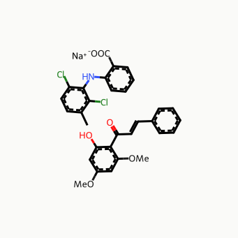 COc1cc(O)c(C(=O)C=Cc2ccccc2)c(OC)c1.Cc1ccc(Cl)c(Nc2ccccc2C(=O)[O-])c1Cl.[Na+]